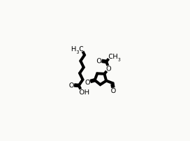 CC(=O)OC1CC(=O)CC1C=O.CCCCCCC(=O)O